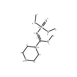 CS/C(=N\P(=S)(SC)SC)N1CCOCC1